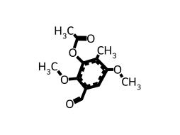 COc1cc(C=O)c(OC)c(OC(C)=O)c1C